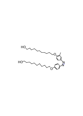 Cc1cc(/N=N\c2ccc(OCCCCCCCCCCCO)cc2)ccc1OCCCCCCCCCCCO